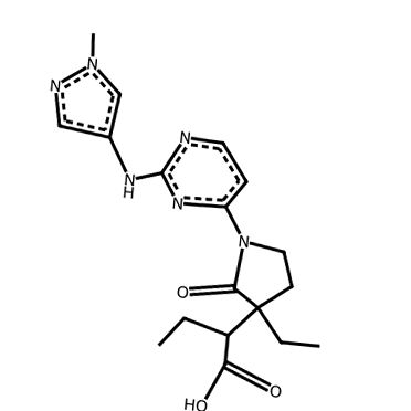 CCC(C(=O)O)C1(CC)CCN(c2ccnc(Nc3cnn(C)c3)n2)C1=O